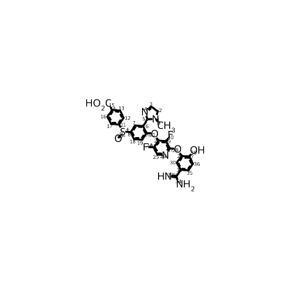 CN1CC=NC1c1cc([S+]([O-])c2ccc(C(=O)O)cc2)ccc1Oc1c(F)cnc(Oc2cc(C(=N)N)ccc2O)c1F